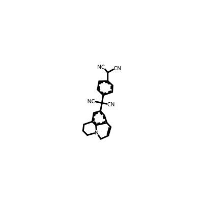 N#CC(C#N)c1ccc(C(C#N)(C#N)c2cc3c4c(c2)CCCN4CC=C3)cc1